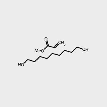 C=CC(=O)OC.OCCCCCCCCCO